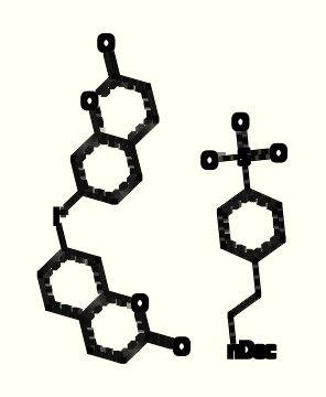 CCCCCCCCCCCCc1ccc(S(=O)(=O)[O-])cc1.O=c1ccc2ccc([I+]c3ccc4ccc(=O)oc4c3)cc2o1